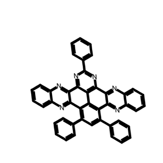 c1ccc(-c2nc3c4nc5ccccc5nc4c4c(-c5ccccc5)cc(-c5ccccc5)c5c6nc7ccccc7nc6c(n2)c3c45)cc1